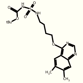 Cc1cc2ncnc(OCCCCNS(=O)(=O)NC(=O)OC(C)(C)C)c2cc1C